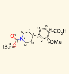 COc1cc(C2CCN(C(=O)OC(C)(C)C)CC2)ccc1C(=O)O